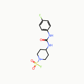 O=C(Nc1ccc(F)cc1)NC1CCN(S(=O)(=O)F)CC1